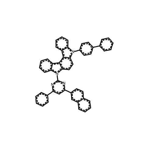 c1ccc(-c2ccc(-n3c4ccccc4c4c5c6ccccc6n(-c6nc(-c7ccccc7)cc(-c7ccc8ccccc8c7)n6)c5ccc43)cc2)cc1